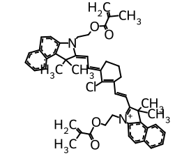 C=C(C)C(=O)OCCN1/C(=C/C=C2\CCCC(/C=C/C3=[N+](CCOC(=O)C(=C)C)c4ccc5ccccc5c4C3(C)C)=C2Cl)C(C)(C)c2c1ccc1ccccc21